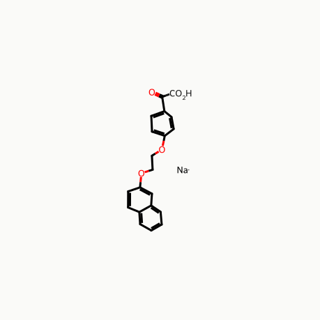 O=C(O)C(=O)c1ccc(OCCOc2ccc3ccccc3c2)cc1.[Na]